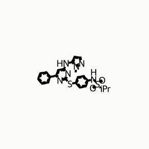 CC(C)S(=O)(=O)Nc1ccc(Sc2nc(Nc3ccnn3C)cc(-c3ccccc3)n2)cc1